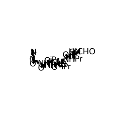 CC(C)CC(C(=O)NC(C)(C)C(=O)NC(C)(C)C(=O)NCCC(=O)N(C)CCN(C)C)N(C(=O)CNC(=O)C(C)(C)N(C(=O)CNC=O)C(C)C)C(C)C